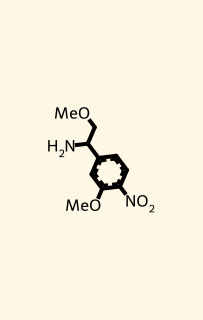 COCC(N)c1ccc([N+](=O)[O-])c(OC)c1